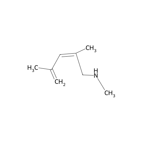 C=C(C)/C=C(/C)CNC